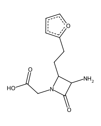 NC1C(=O)N(CC(=O)O)C1CCc1ccco1